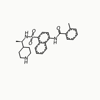 Cc1ccccc1C(=O)Nc1ccc(S(=O)(=O)N[C@H](C)C2CCNCC2)c2ccccc12